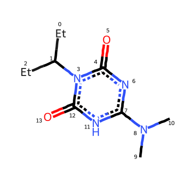 CCC(CC)n1c(=O)nc(N(C)C)[nH]c1=O